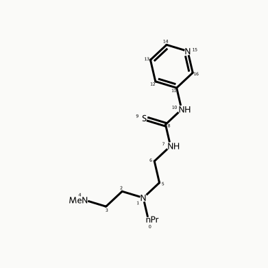 CCCN(CCNC)CCNC(=S)Nc1cccnc1